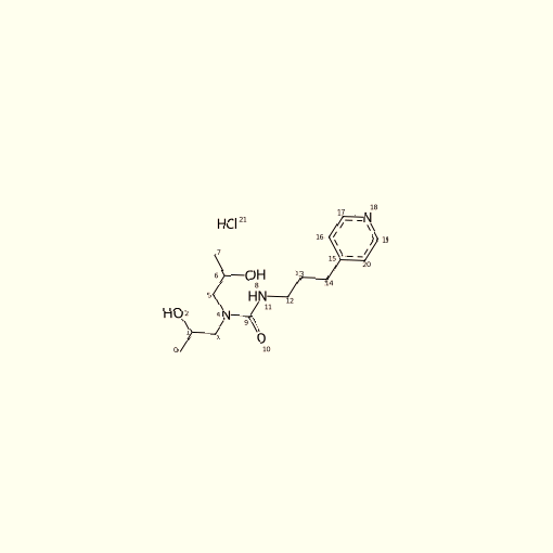 CC(O)CN(CC(C)O)C(=O)NCCCc1ccncc1.Cl